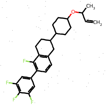 C=CC(C)OC1CCC(C2CCc3c(ccc(-c4cc(F)c(F)c(F)c4)c3F)C2)CC1